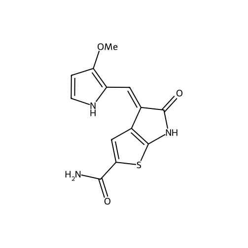 COc1cc[nH]c1/C=C1/C(=O)Nc2sc(C(N)=O)cc21